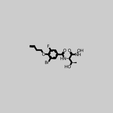 C=CCCOc1c(F)cc(C(=O)N[C@H](C(=O)NO)[C@@H](C)O)cc1Br